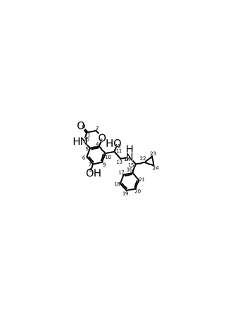 O=C1COc2c(cc(O)cc2C(O)CNC(c2ccccc2)C2CC2)N1